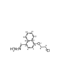 NN=Cc1ccc(OCCCl)c2ccccc12